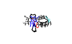 [2H]C(C)(C)c1nnc(C)n1C1CC2CCC(C1)N2C([2H])([2H])CC(NC(=O)C1C([2H])([2H])C([2H])([2H])C(F)(F)C([2H])([2H])C1([2H])[2H])c1ccccc1